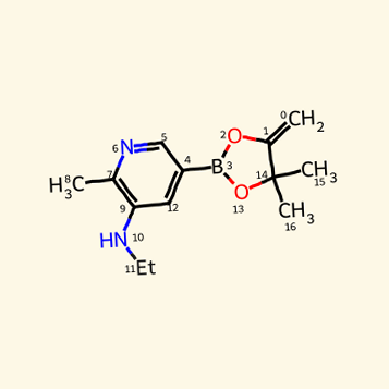 C=C1OB(c2cnc(C)c(NCC)c2)OC1(C)C